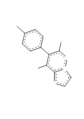 Cc1ccc(-c2c(N)nn3ccnc3c2N)cc1